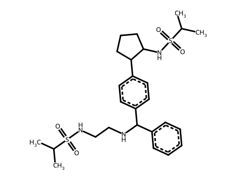 CC(C)S(=O)(=O)NCCNC(c1ccccc1)c1ccc(C2CCCC2NS(=O)(=O)C(C)C)cc1